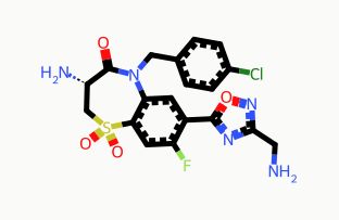 NCc1noc(-c2cc3c(cc2F)S(=O)(=O)C[C@H](N)C(=O)N3Cc2ccc(Cl)cc2)n1